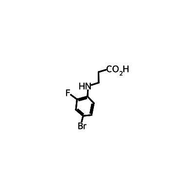 O=C(O)CCNc1ccc(Br)cc1F